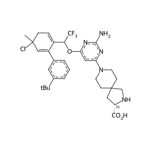 CC1(Cl)C=C(c2cccc(C(C)(C)C)c2)C(C(Oc2cc(N3CCC4(CC3)CN[C@H](C(=O)O)C4)nc(N)n2)C(F)(F)F)=CC1